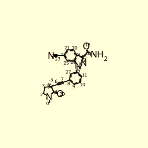 CN1CC[C@@](C)(C#Cc2cccc(-n3nc(C(N)=O)c4ccc(C#N)cc43)c2)C1=O